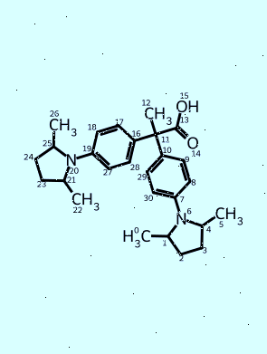 CC1CCC(C)N1c1ccc(C(C)(C(=O)O)c2ccc(N3C(C)CCC3C)cc2)cc1